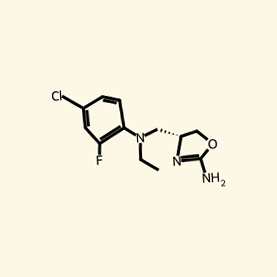 CCN(C[C@@H]1COC(N)=N1)c1ccc(Cl)cc1F